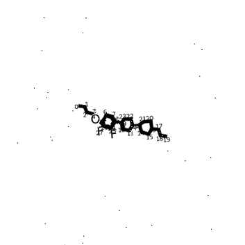 CCCCOc1ccc(C2=CC[C@H](C3CCC(CCC)CC3)CC2)c(F)c1F